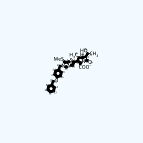 CSc1c2sc(C3=C(C(=O)[O-])N4C(=O)[C@H]([C@@H](C)O)[C@H]4[C@H]3C)c[n+]2cn1Cc1ccc(OCc2ccccc2)cc1